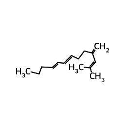 C=C(C=C(C)C)CCC=CC=CCCC